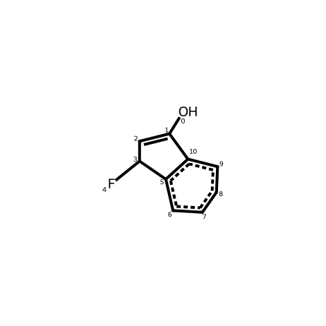 OC1=CC(F)c2ccccc21